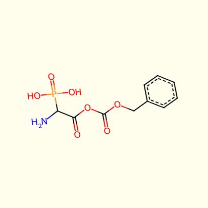 NC(C(=O)OC(=O)OCc1ccccc1)P(=O)(O)O